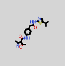 Cc1noc(C)c1C(=O)Nc1ccc(CC(=O)Nc2ncc(C(C)C)s2)cc1